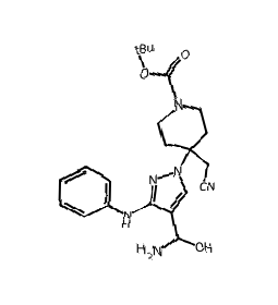 CC(C)(C)OC(=O)N1CCC(CC#N)(n2cc(C(N)O)c(Nc3ccccc3)n2)CC1